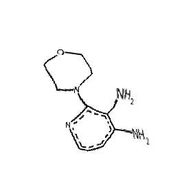 Nc1ccnc(N2CCOCC2)c1N